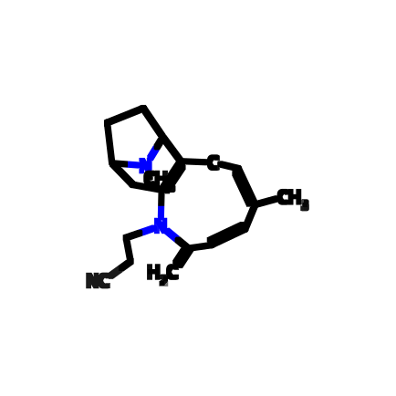 C=C1/C=C\C(C)=C/CC2=C(CC3CCC2N3C)N1CCC#N